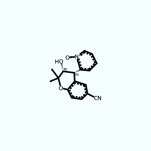 CC1(C)Oc2ccc(C#N)cc2[C@@H](c2cccc[n+]2[O-])[C@H]1O